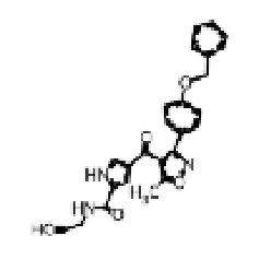 C#CCNC(=O)c1cc(C(=O)c2c(-c3ccc(OCc4ccccc4)cc3)noc2C)c[nH]1